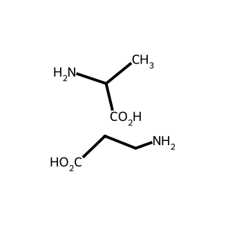 CC(N)C(=O)O.NCCC(=O)O